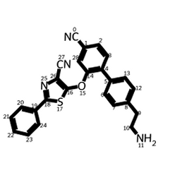 N#Cc1ccc(-c2ccc(CCN)cc2)c(Oc2sc(-c3ccccc3)nc2C#N)c1